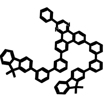 CC1(C)c2ccccc2-c2ccc(-c3cccc(-c4cccc(-c5ccc6c(c5)c5cc(-c7cccc(-c8cccc(-c9ccc%10c(c9)C(C)(C)c9ccccc9-%10)c8)c7)ccc5c5nc(-c7ccccc7)cnc65)c4)c3)cc21